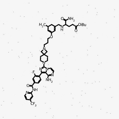 CC(C)COC(=O)CCC(NCC1=CC(OCCCN2CC3(CCN(c4nc(-c5ccc(C(=O)Nc6cc(C(F)(F)F)ccn6)cc5F)c5c(N)nccn45)CC3)C2)=CC(C)C1)C(N)=O